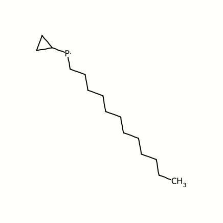 CCCCCCCCCCCC[P]C1CC1